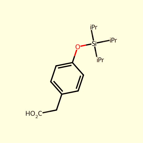 CC(C)[Si](Oc1ccc(CC(=O)O)cc1)(C(C)C)C(C)C